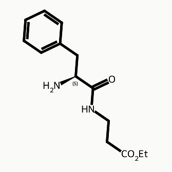 CCOC(=O)CCNC(=O)[C@@H](N)Cc1ccccc1